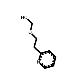 OCOCCc1ccccn1